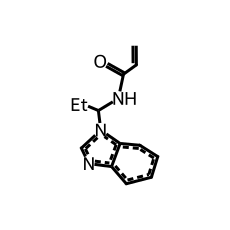 C=CC(=O)NC(CC)n1cnc2ccccc21